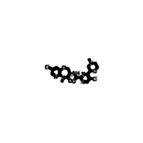 CN1CCOC(c2nc(C(=O)N[C@H]3COc4cc(Cl)cnc4N(C)C3=O)ncc2Cl)C1